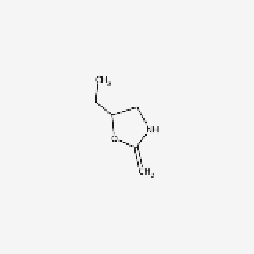 C=C1NCC(CC)O1